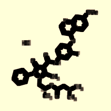 COc1ccc2c(Oc3ccc(NC(=O)c4c(C)n(C[C@@H](C)OC(=O)CN(C)C)n(-c5ccccc5)c4=O)cc3F)ccnc2c1.Cl